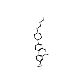 CCCCCC1CCC(c2ccc(-c3ccc(OC)cc3CC)c(I)c2)CC1